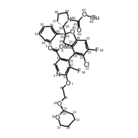 COC(=O)c1cnc(OCCO[C@H]2CCCCO2)c(F)c1-c1c(Cl)c(F)cc2c1C[C@](c1ccccc1)([C@@H]1CCCN1C(=O)OC(C)(C)C)O2